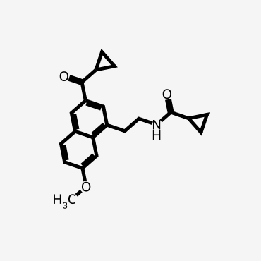 COc1ccc2cc(C(=O)C3CC3)cc(CCNC(=O)C3CC3)c2c1